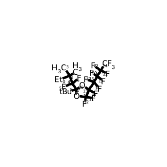 CCC(C)(C)C(F)(F)C1(C(C)(C)C)OC(F)(F)C(F)(C(F)(F)C(F)(F)C(F)(F)C(F)(F)F)O1